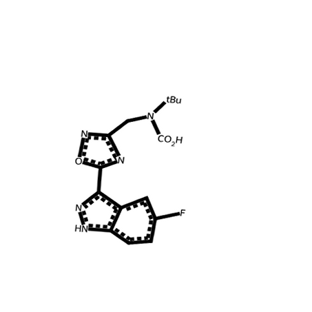 CC(C)(C)N(Cc1noc(-c2n[nH]c3ccc(F)cc23)n1)C(=O)O